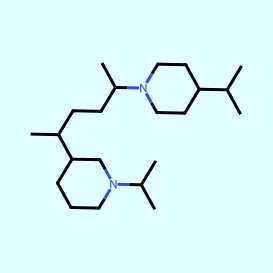 CC(C)C1CCN(C(C)CCC(C)C2CCCN(C(C)C)C2)CC1